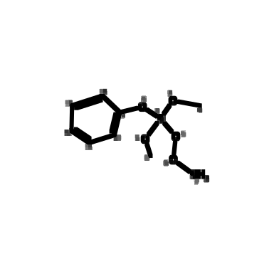 CO[Si](OC)(OO[SiH3])Oc1ccccc1